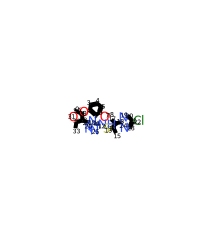 COc1cccc(OC)c1-n1c(NSC(C)C(C)c2ncc(Cl)cn2)nnc1C1CCOC1C